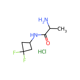 CC(N)C(=O)NC1CC(F)(F)C1.Cl